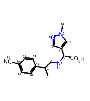 CC(CN[C@H](C(=O)O)c1cnn(C)c1)c1ccc(C#N)cc1